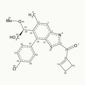 Cc1cc2nc(C(=O)C3=CCC3)sc2c(-c2ccc(Cl)cc2)c1[C@H](OC(C)(C)C)C(=O)O